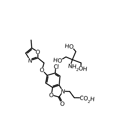 Cc1cnc(COc2cc3oc(=O)n(CCC(=O)O)c3cc2Cl)o1.NC(CO)(CO)CO